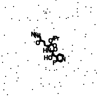 CC(C)OC(=O)[C@H](CCC(=O)C=[N+]=[N-])NC(=O)[C@@H](O)c1ccncc1F